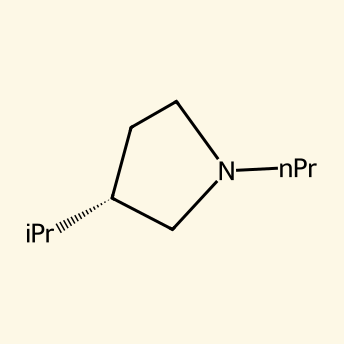 CCCN1CC[C@@H](C(C)C)C1